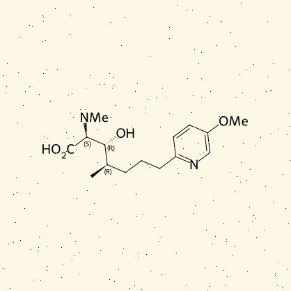 CN[C@H](C(=O)O)[C@H](O)[C@H](C)CCCc1ccc(OC)cn1